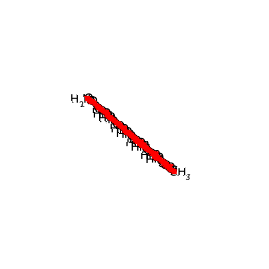 CCC(=O)COCC(=O)CCCOCCOCCOCCNC(=O)COCC(=O)NCCOCCOCCOCCNC(=O)COCC(=O)NCCOCCOCCOCCNC(=O)COCC(=O)NCCOCCOCCOCCNC(=O)COCC(=O)NCCOCCOCCOCCCC(=O)COCC(N)=O